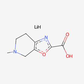 CN1CCc2nc(C(=O)O)oc2C1.[LiH]